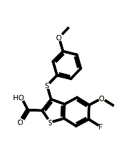 COc1cccc(Sc2c(C(=O)O)sc3cc(F)c(OC)cc23)c1